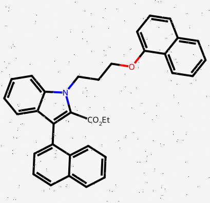 CCOC(=O)c1c(-c2cccc3ccccc23)c2ccccc2n1CCCOc1cccc2ccccc12